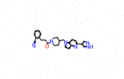 N#Cc1ccccc1CCC(=O)N1CCC(Cn2ccc3nc(-c4cn[nH]c4)ccc32)CC1